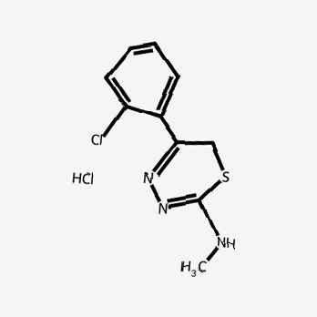 CNC1=NN=C(c2ccccc2Cl)CS1.Cl